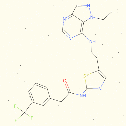 CCn1ncc2ncnc(NCCc3cnc(NC(=O)Cc4cccc(C(F)(F)F)c4)s3)c21